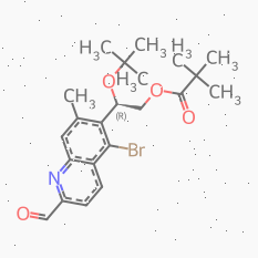 Cc1cc2nc(C=O)ccc2c(Br)c1[C@H](COC(=O)C(C)(C)C)OC(C)(C)C